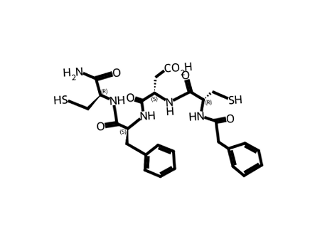 NC(=O)[C@H](CS)NC(=O)[C@H](Cc1ccccc1)NC(=O)[C@H](CC(=O)O)NC(=O)[C@H](CS)NC(=O)Cc1ccccc1